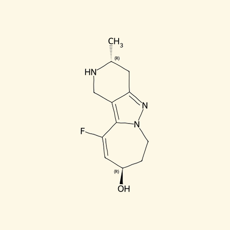 C[C@@H]1Cc2nn3c(c2CN1)C(F)=C[C@H](O)CC3